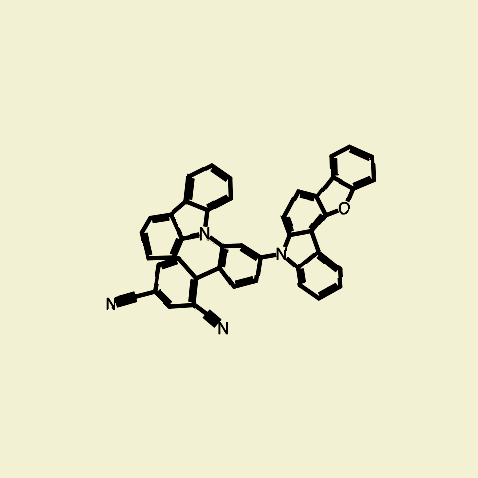 N#Cc1ccc(-c2ccc(-n3c4ccccc4c4c5oc6ccccc6c5ccc43)cc2-n2c3ccccc3c3ccccc32)c(C#N)c1